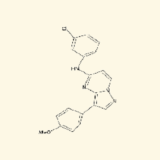 COc1ccc(-c2cnn3ccc(Nc4cccc(Cl)c4)nc23)cc1